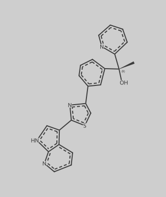 C[C@@](O)(c1cccc(-c2csc(-c3c[nH]c4ncccc34)n2)c1)c1ccccn1